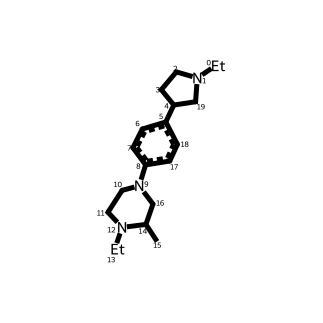 CCN1CCC(c2ccc(N3CCN(CC)C(C)C3)cc2)C1